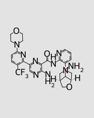 NCC1[C@H]2CO[C@@H]1CN(c1cccnc1NC(=O)c1nc(-c3nc(N4CCOCC4)ccc3C(F)(F)F)cnc1N)C2